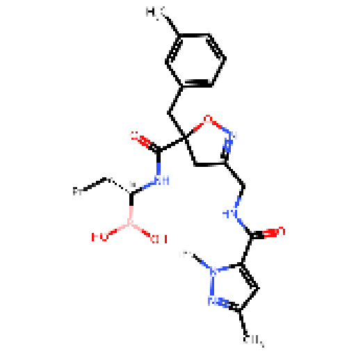 Cc1cccc(CC2(C(=O)N[C@@H](CC(C)C)B(O)O)CC(CNC(=O)c3cc(C)nn3C(C)C)=NO2)c1